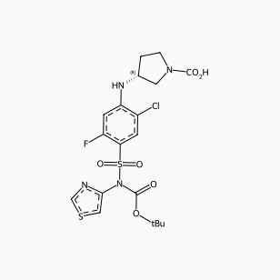 CC(C)(C)OC(=O)N(c1cscn1)S(=O)(=O)c1cc(Cl)c(N[C@@H]2CCN(C(=O)O)C2)cc1F